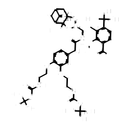 COc1c(C(=O)O)ccc(C(C)(C)C)c1C[C@H](NC(=O)Cc1ccc(OCCNC(=O)OC(C)(C)C)c(OCCNC(=O)OC(C)(C)C)c1)B1OC2CC3CC(C3(C)C)C2(C)O1